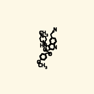 COc1ccc(S(=O)(=O)c2cnc3ccc(CC#N)cc3c2NN2CCN(C)CC2)cc1